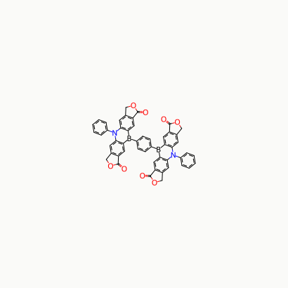 O=C1OCc2cc3c(cc21)B(c1ccc(B2c4cc5c(cc4N(c4ccccc4)c4cc6c(cc42)C(=O)OC6)COC5=O)cc1)c1cc2c(cc1N3c1ccccc1)COC2=O